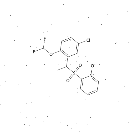 CC(c1cc(Cl)ccc1OC(F)F)S(=O)(=O)c1cccc[n+]1[O-]